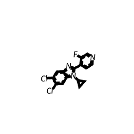 Fc1cnccc1-c1nc2cc(Cl)c(Cl)cc2n1C1CC1